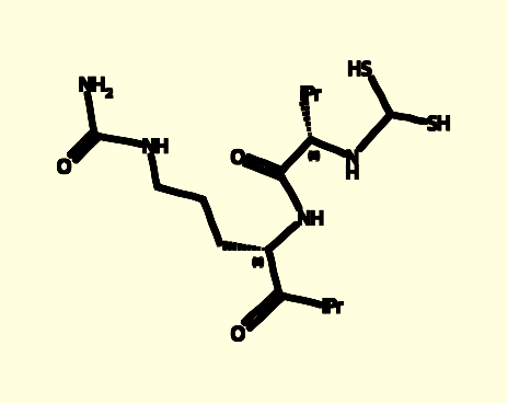 CC(C)C(=O)[C@H](CCCNC(N)=O)NC(=O)[C@@H](NC(S)S)C(C)C